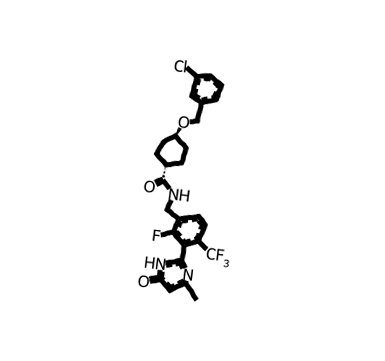 Cc1cc(=O)[nH]c(-c2c(C(F)(F)F)ccc(CNC(=O)[C@H]3CC[C@H](OCc4cccc(Cl)c4)CC3)c2F)n1